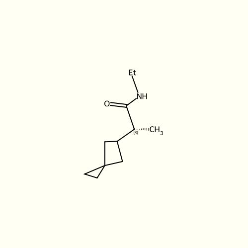 CCNC(=O)[C@H](C)C1CC2(CC2)C1